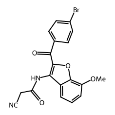 COc1cccc2c(NC(=O)CC#N)c(C(=O)c3ccc(Br)cc3)oc12